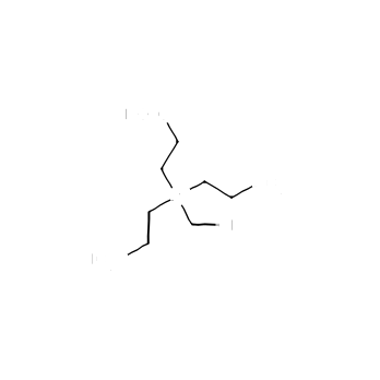 O=C(O)CC[P+](CO)(CCC(=O)O)CCC(=O)O.[I-]